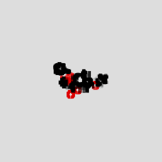 C=C1C[C@@H](OCc2ccccc2)[C@@]2(O)[C@@H](OC(=O)[C@@]2(C)O[Si](C)(C)C)C2=C(C)[C@H](O[Si](C)(C)C(C)(C)C)C[C@H]12